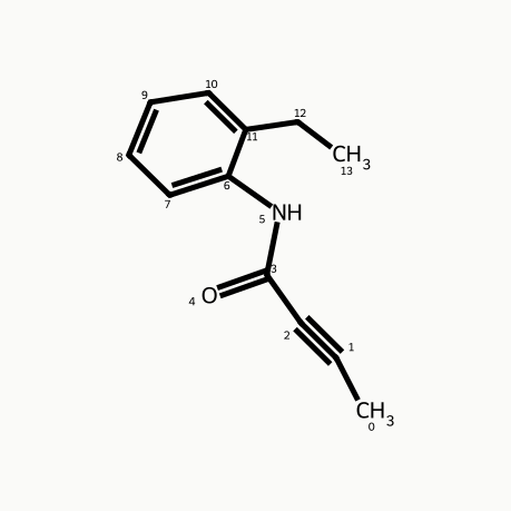 CC#CC(=O)Nc1ccccc1CC